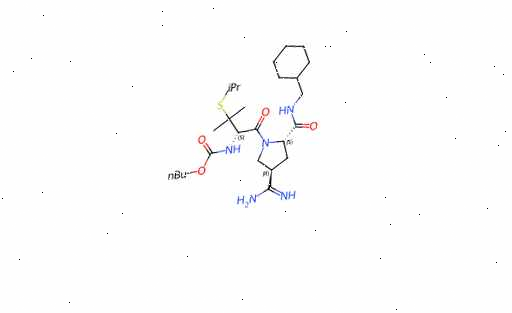 CCCCOC(=O)N[C@@H](C(=O)N1C[C@H](C(=N)N)C[C@H]1C(=O)NCC1CCCCC1)C(C)(C)SC(C)C